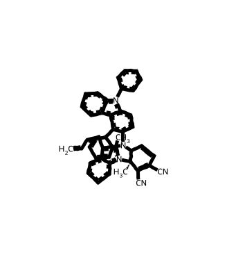 C=C/C=C\c1c(C)n([C@]2(C)C(C#N)=C(C#N)C=CC2N2c3ccc4c(c3C3C=CC=CC32)c2ccccc2n4-c2ccccc2)c2ccccc12